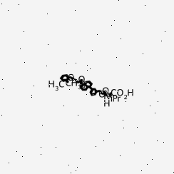 Cc1cccc(OCCCC(=O)N2CCCc3c(-c4cccc(COC(=O)N[C@@H](CC(=O)O)C(C)C)c4)cccc32)c1C